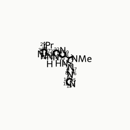 CN/C=C(\C(=N)CN1CCN(c2cccnc2)CC1)c1cnc2ccc(Nc3cc(C(C)C)cnn3)nc2c1